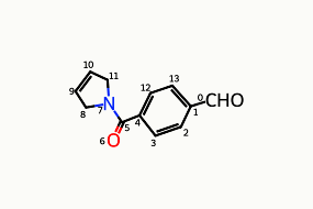 O=Cc1ccc(C(=O)N2CC=CC2)cc1